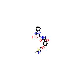 Cc1ncc(COc2ccc3oc(C)c(C(=O)N[C@H](CO)c4nc5ccccc5[nH]4)c3c2)s1